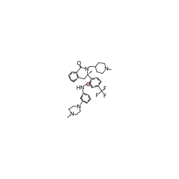 CN1CCC(CN2C(=O)c3ccccc3[C@@H](C(=O)Nc3cccc(N4CCN(C)CC4)c3)[C@@]2(C)c2ccc(C(F)(F)F)cc2)CC1